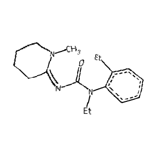 CCc1ccccc1N(CC)C(=O)/N=C1/CCCCN1C